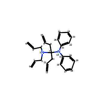 C=CCN(CC=C)C(CC=C)(CC=C)N(c1ccccc1)c1ccccc1